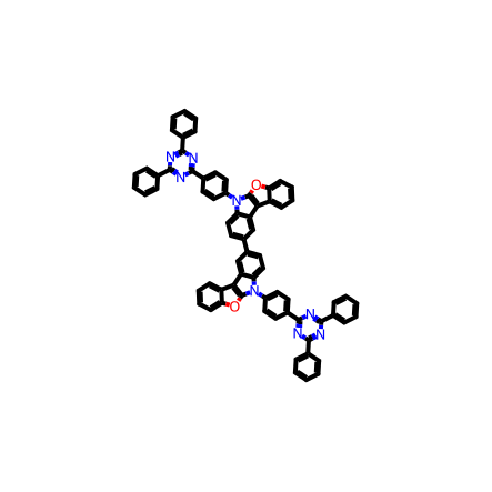 c1ccc(-c2nc(-c3ccccc3)nc(-c3ccc(-n4c5ccc(-c6ccc7c(c6)c6c8ccccc8oc6n7-c6ccc(-c7nc(-c8ccccc8)nc(-c8ccccc8)n7)cc6)cc5c5c6ccccc6oc54)cc3)n2)cc1